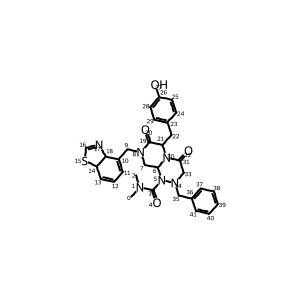 CN(C)C(=O)N1C2CN(CC3=CC=CC4SC=NC34)C(=O)C(Cc3ccc(O)cc3)N2C(=O)CN1Cc1ccccc1